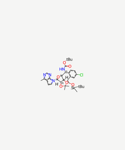 Cc1ncnc2c1ccn2[C@@H]1O[C@H]([C@H](NC(=O)OC(C)(C)C)c2ccc(Cl)cc2CCO[Si](C)(C)C(C)(C)C)[C@H]2OC(C)(C)O[C@H]21